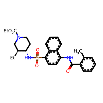 CCOC(=O)N1CC[C@H](NS(=O)(=O)c2ccc(NC(=O)c3ccccc3C)c3ccccc23)[C@@H](CC)C1